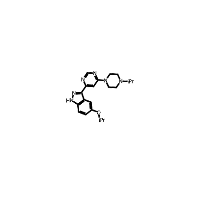 CC(C)Oc1ccc2[nH]nc(-c3cc(N4CCN(C(C)C)CC4)ncn3)c2c1